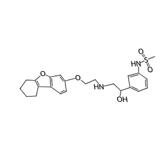 CS(=O)(=O)Nc1cccc(C(O)CNCCOc2ccc3c4c(oc3c2)CCCC4)c1